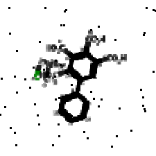 CCCCCCC.CCCCCCl.O=C(O)c1cc(-c2ccccc2)c(C(=O)O)c(C(=O)O)c1C(=O)O